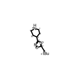 CC(C)(C)Cc1nc(C2CCNCC2)no1